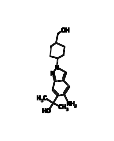 CC(C)(O)c1cc2nn(C3CCC(CO)CC3)cc2cc1N